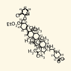 C=C(C)[C@@H]1CC[C@]2(NCCN3CCS(=O)(=O)CC3)CC[C@]3(C)[C@H](CCC4[C@@]5(C)CC=C(C6=CC[C@](COc7ncccc7Cl)(C(=O)OCC)CC6)C(C)(C)C5CC[C@]43C)C12